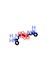 N[C@@H](Cc1c[nH]c2ccccc12)C(=O)OC(=O)C(=O)OC(=O)[C@@H](N)Cc1c[nH]c2ccccc12